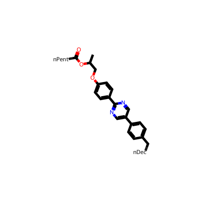 CCCCCCCCCCCc1ccc(-c2cnc(-c3ccc(OCC(C)OC(=O)CCCCC)cc3)nc2)cc1